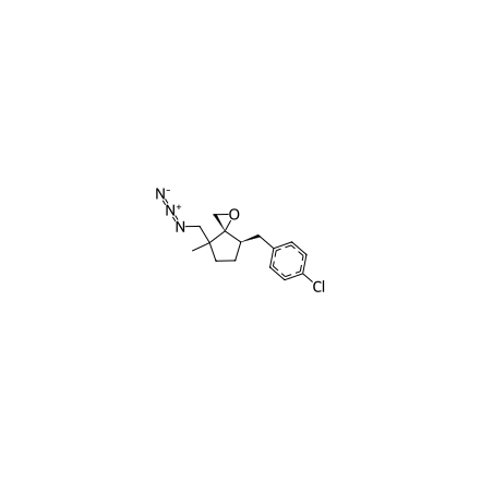 CC1(CN=[N+]=[N-])CC[C@H](Cc2ccc(Cl)cc2)[C@]12CO2